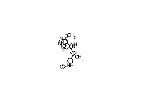 COc1cc(-c2[nH]nc(-c3nc(C)c(C4CCC(NC5COC5)CC4)s3)c2CC(F)(F)F)cn2ncnc12